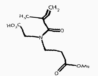 C=C(C)C(=O)N(CCC(=O)OC)CC(=O)O